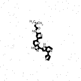 CN(C)CC(=O)Nc1cncc(-c2ccc3[nH]nc(-c4cc5c(-c6ccsc6)nccc5[nH]4)c3n2)c1